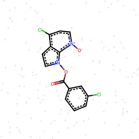 O=C(On1ccc2c(Cl)cc[n+]([O-])c21)c1cccc(Cl)c1